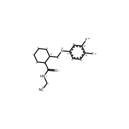 N#CCNC(=O)C1CCCCC1CSc1ccc(F)c(F)c1